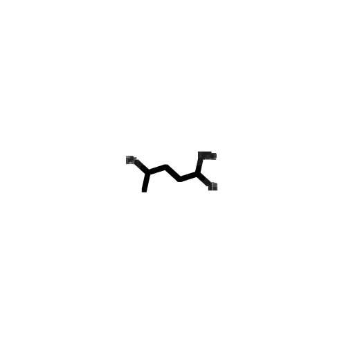 CCC(CCC(C)C(C)C)NC